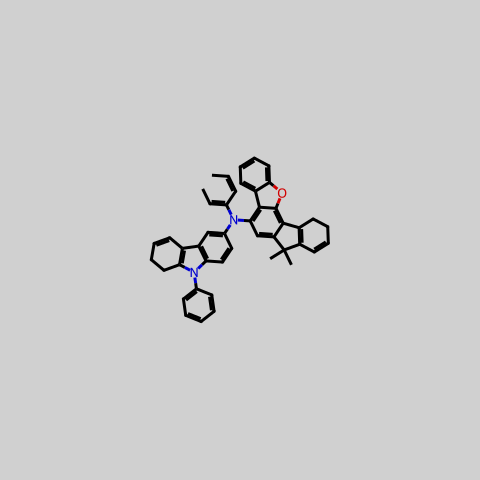 C/C=C\C(=C/C)N(c1ccc2c(c1)c1c(n2-c2ccccc2)CCC=C1)c1cc2c(c3oc4ccccc4c13)C1=C(C=CCC1)C2(C)C